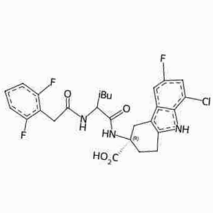 CCC(C)C(NC(=O)Cc1c(F)cccc1F)C(=O)N[C@]1(C(=O)O)CCc2[nH]c3c(Cl)cc(F)cc3c2C1